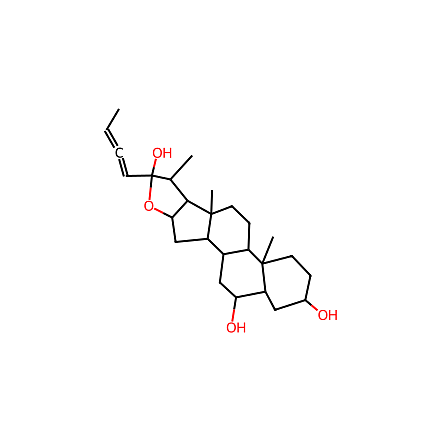 CC=C=CC1(O)OC2CC3C4CC(O)C5CC(O)CCC5(C)C4CCC3(C)C2C1C